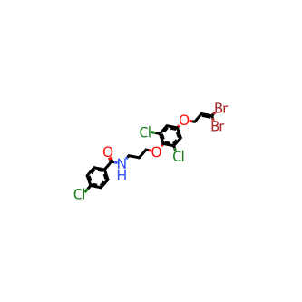 O=C(NCCCOc1c(Cl)cc(OCC=C(Br)Br)cc1Cl)c1ccc(Cl)cc1